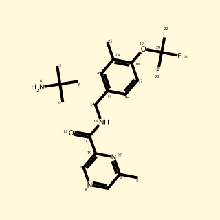 CC(C)(C)N.Cc1cncc(C(=O)NCc2ccc(OC(F)(F)F)c(C)c2)n1